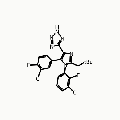 CC(C)(C)Cc1nc(-c2nn[nH]n2)c(-c2ccc(F)c(Cl)c2)n1-c1cccc(Cl)c1F